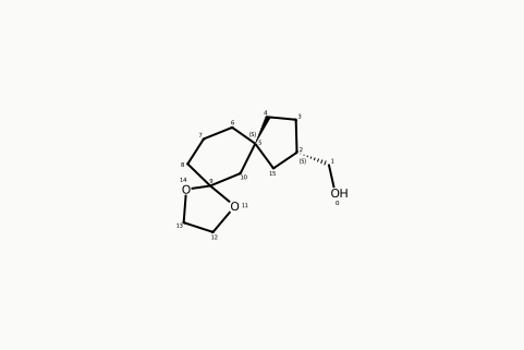 OC[C@H]1CC[C@@]2(CCCC3(C2)OCCO3)C1